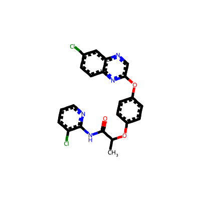 CC(Oc1ccc(Oc2cnc3cc(Cl)ccc3n2)cc1)C(=O)Nc1ncccc1Cl